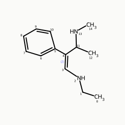 CCN/C=C(/c1ccccc1)C(C)NC